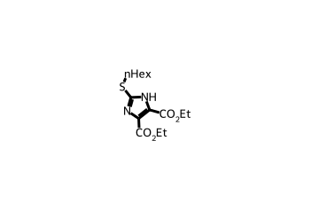 CCCCCCSc1nc(C(=O)OCC)c(C(=O)OCC)[nH]1